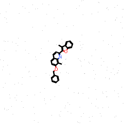 Cc1c(-c2ccc3ccc(OCc4ccccc4)c(C)c3n2)oc2ccccc12